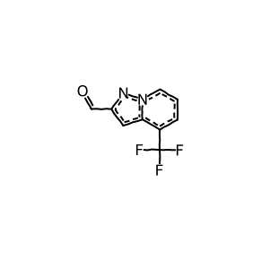 O=Cc1cc2c(C(F)(F)F)cccn2n1